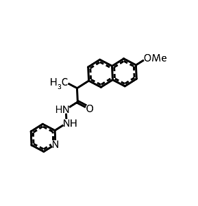 COc1ccc2cc(C(C)C(=O)NNc3ccccn3)ccc2c1